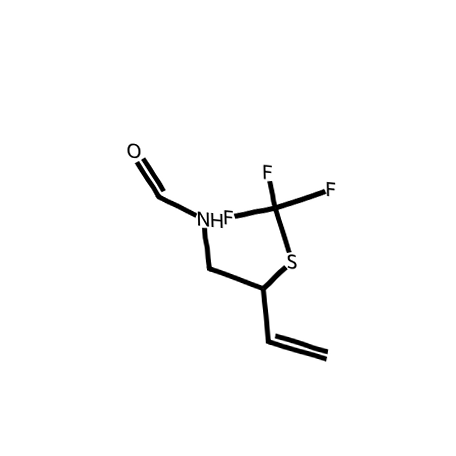 C=CC(CNC=O)SC(F)(F)F